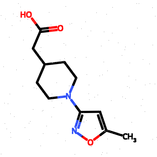 Cc1cc(N2CCC(CC(=O)O)CC2)no1